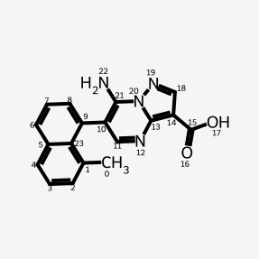 Cc1cccc2cccc(-c3cnc4c(C(=O)O)cnn4c3N)c12